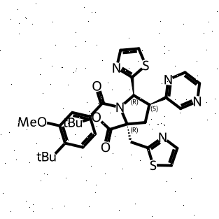 COc1cc(C(=O)N2[C@@H](c3nccs3)[C@@H](c3cnccn3)C[C@@]2(Cc2nccs2)C(=O)OC(C)(C)C)ccc1C(C)(C)C